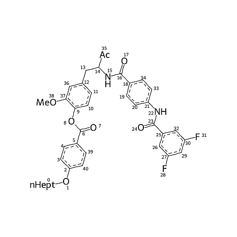 CCCCCCCOc1ccc(C(=O)Oc2ccc(CC(NC(=O)c3ccc(NC(=O)c4cc(F)cc(F)c4)cc3)C(C)=O)cc2OC)cc1